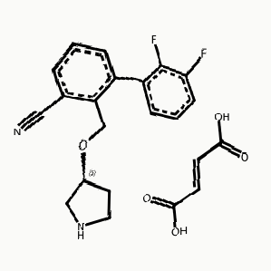 N#Cc1cccc(-c2cccc(F)c2F)c1CO[C@H]1CCNC1.O=C(O)C=CC(=O)O